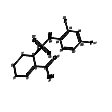 O=C(O)C1=CCCC[C@H]1S(=O)(=O)Nc1ccc(F)cc1F